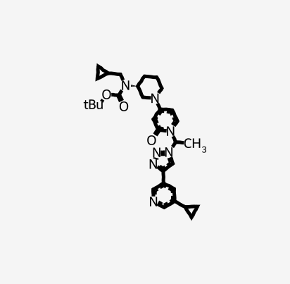 CC(n1cc(-c2cncc(C3CC3)c2)nn1)n1ccc(N2CCC[C@@H](N(CC3CC3)C(=O)OC(C)(C)C)C2)cc1=O